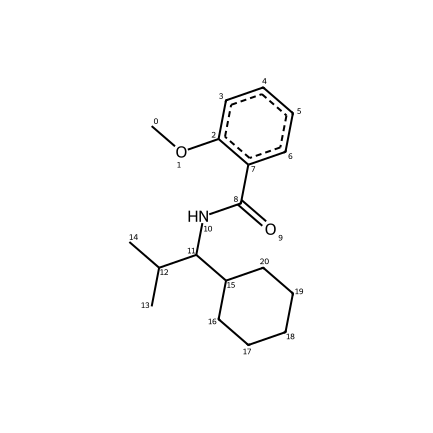 COc1ccccc1C(=O)NC(C(C)C)C1CCCCC1